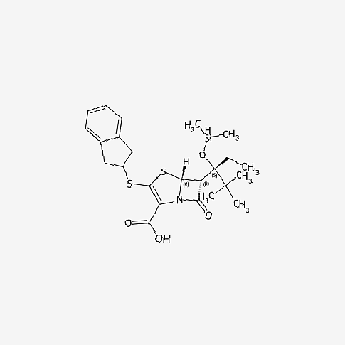 CC[C@](O[SiH](C)C)([C@@H]1C(=O)N2C(C(=O)O)=C(SC3Cc4ccccc4C3)S[C@H]12)C(C)(C)C